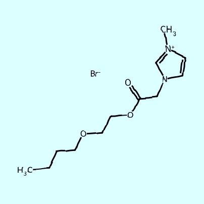 CCCCOCCOC(=O)Cn1cc[n+](C)c1.[Br-]